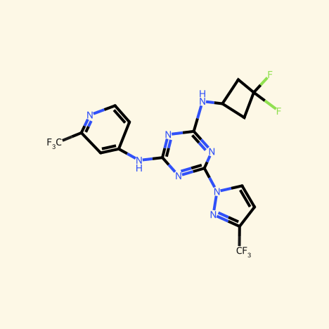 FC1(F)CC(Nc2nc(Nc3ccnc(C(F)(F)F)c3)nc(-n3ccc(C(F)(F)F)n3)n2)C1